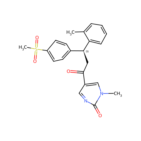 Cc1ccccc1[C@@H](CC(=O)c1cnc(=O)n(C)c1)c1ccc(S(C)(=O)=O)cc1